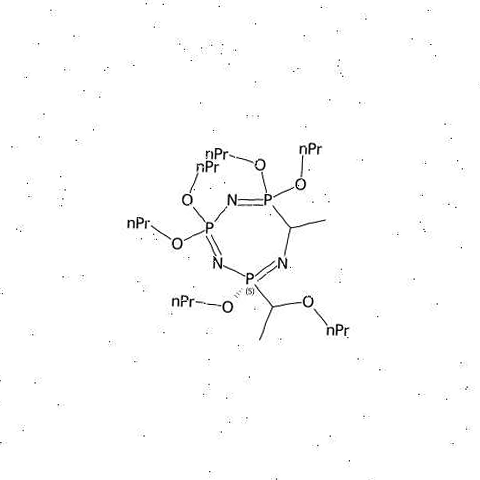 CCCOC(C)[P@]1(OCCC)=NC(C)P(OCCC)(OCCC)=NP(OCCC)(OCCC)=N1